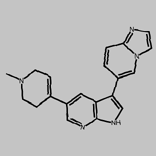 CN1CC=C(c2cnc3[nH]cc(-c4ccc5nccn5c4)c3c2)CC1